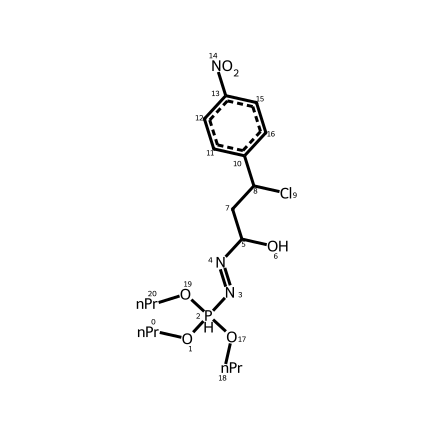 CCCO[PH](N=NC(O)CC(Cl)c1ccc([N+](=O)[O-])cc1)(OCCC)OCCC